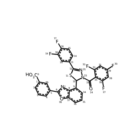 O=C(O)c1cccc(-c2nc3c(C4SC(c5ccc(F)c(F)c5)=NN4C(=O)c4c(F)cc(F)cc4F)cccc3o2)c1